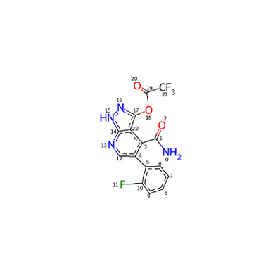 NC(=O)c1c(-c2ccccc2F)cnc2[nH]nc(OC(=O)C(F)(F)F)c12